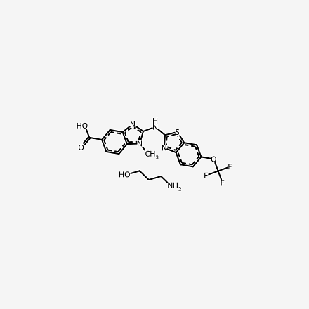 Cn1c(Nc2nc3ccc(OC(F)(F)F)cc3s2)nc2cc(C(=O)O)ccc21.NCCCO